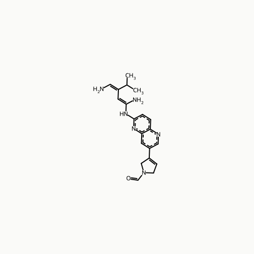 CC(C)C(=C/N)/C=C(\N)Nc1ccc2ncc(C3=CCN(C=O)C3)cc2n1